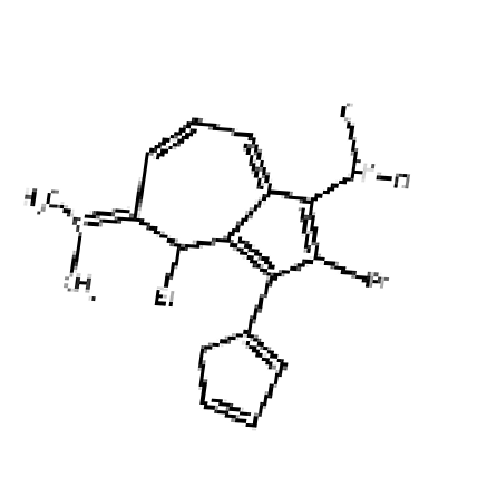 CCC1C2=C(C3=CC=CC3)C(C(C)C)=[C]([Hf]([Cl])[Cl])C2=CC=CC1=[Si](C)C